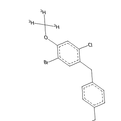 [2H]C([2H])([2H])Oc1cc(Cl)c(Cc2ccc(CC)cc2)cc1Br